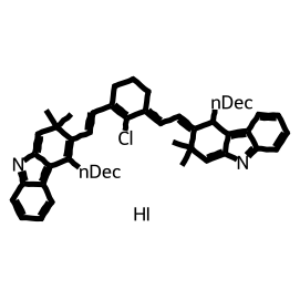 CCCCCCCCCCC1=C(C=CC2=C(Cl)C(=CC=C3C(CCCCCCCCCC)C4=c5ccccc5=NC4=CC3(C)C)CCC2)C(C)(C)C=C2N=c3ccccc3=C21.I